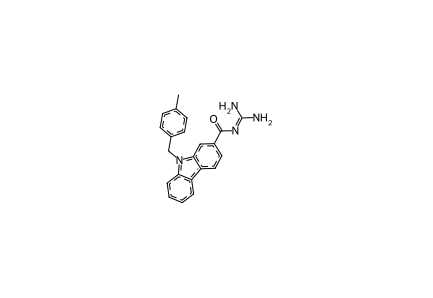 Cc1ccc(Cn2c3ccccc3c3ccc(C(=O)N=C(N)N)cc32)cc1